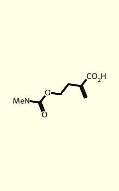 C=C(CCOC(=O)NC)C(=O)O